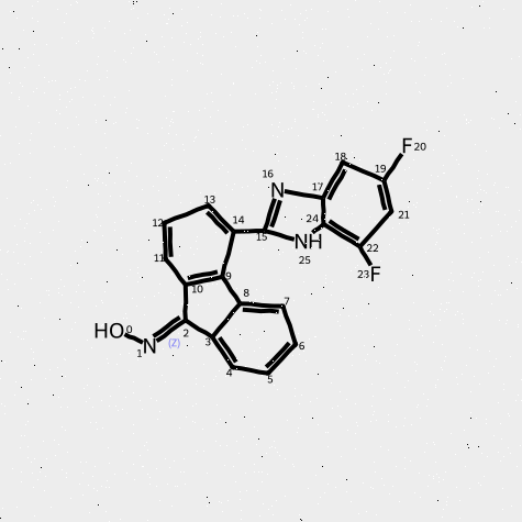 O/N=C1/c2ccccc2-c2c1cccc2-c1nc2cc(F)cc(F)c2[nH]1